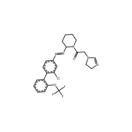 O=C(CN1C=NCC1)N1CCCCC1/N=N/c1ccc(-c2ccccc2OC(F)(F)F)c(Cl)c1